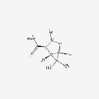 COC(=O)[C@@H]1[C@@H]2[C@H](CN1C(C)=O)C2(C)C